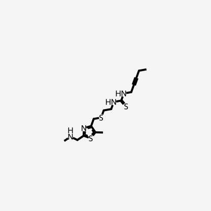 CCC#CCNC(=S)NCCSCc1nc(CNC)sc1C